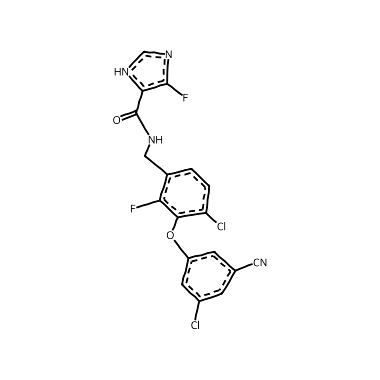 N#Cc1cc(Cl)cc(Oc2c(Cl)ccc(CNC(=O)c3[nH]cnc3F)c2F)c1